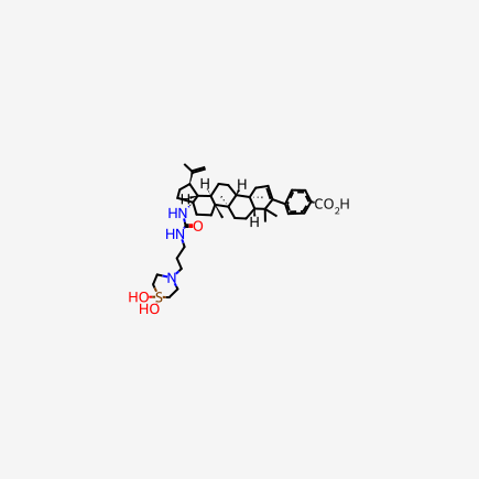 C=C(C)[C@@H]1CC[C@]2(NC(=O)NCCCN3CCS(O)(O)CC3)CC[C@]3(C)[C@H](CC[C@@H]4[C@@]5(C)CC=C(c6ccc(C(=O)O)cc6)C(C)(C)[C@@H]5CC[C@]43C)[C@@H]12